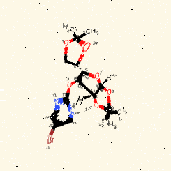 CC1(C)OCC([C@@H]2O[C@@H]3OC(C)(C)O[C@@H]3[C@H]2Oc2ncc(Br)cn2)O1